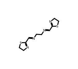 C(=N\CC/N=C/C1=NCCS1)/C1=NCCS1